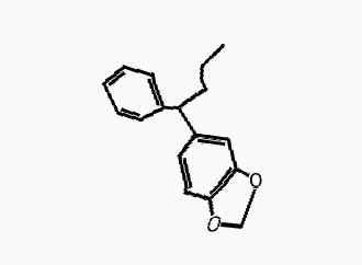 CCCC(c1ccccc1)c1ccc2c(c1)OCO2